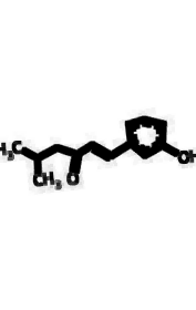 CC(C)CC(=O)C=Cc1cccc(O)c1